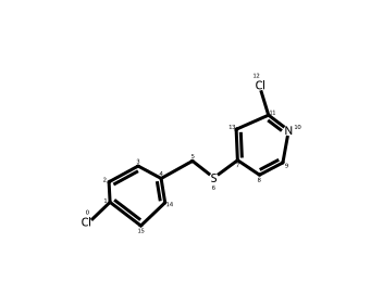 Clc1ccc(CSc2ccnc(Cl)c2)cc1